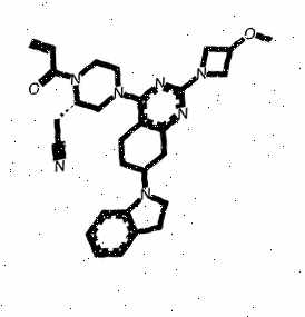 C=CC(=O)N1CCN(c2nc(N3CC(OC)C3)nc3c2CCC(N2CCc4ccccc42)C3)C[C@@H]1CC#N